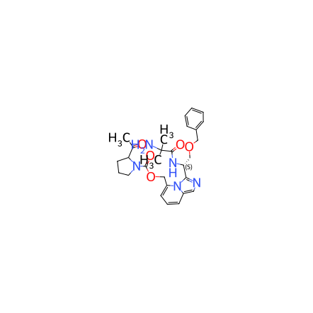 CC(=O)C1CCCN1C(=O)OCc1cccc2cnc([C@@H](COCc3ccccc3)NC(=O)C(C)(C)N)n12